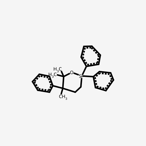 CC1(C)O[Si](c2ccccc2)(c2ccccc2)CCC1(C)c1ccccc1